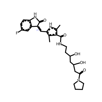 Cc1[nH]c(/C=C2\C(=O)Nc3ccc(F)cc32)c(C)c1C(=O)NCCC(O)CC(O)CC(=O)N1CCCC1